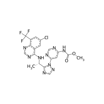 COC(=O)Nc1cc(-n2ncnc2[C@H](C)Nc2ncnc3c(C(F)(F)F)cc(Cl)cc23)ncn1